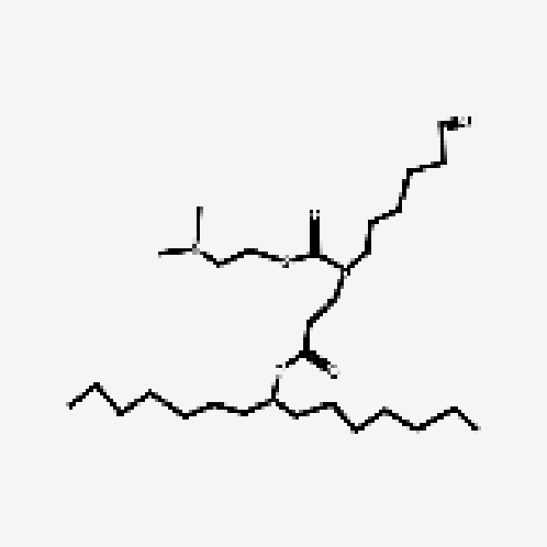 CCCCCCCC(CCCCCCC)OC(=O)CCN(CCCCCC=O)C(=O)SCCN(C)C